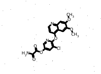 COc1cc2nccc(Oc3ncc(OC(=O)C(N)=O)cc3Cl)c2cc1OC